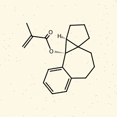 C=C(C)C(=O)O[C@@]12c3ccccc3CCCC13CCC[C@@H]32